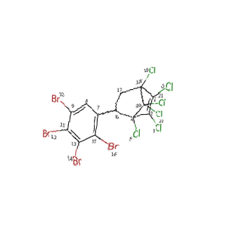 ClC1=C(Cl)C2(Cl)C(c3cc(Br)c(Br)c(Br)c3Br)CC1(Cl)C2(Cl)Cl